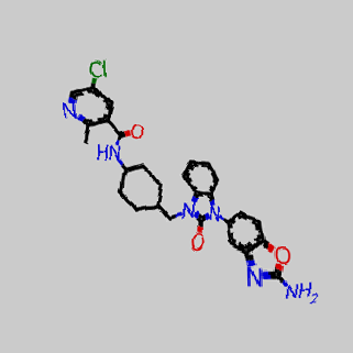 Cc1ncc(Cl)cc1C(=O)NC1CCC(Cn2c(=O)n(-c3ccc4oc(N)nc4c3)c3ccccc32)CC1